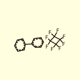 FC1(F)C(F)(F)C(F)(F)C1(F)F.c1ccc(-c2ccccc2)cc1